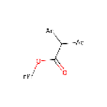 CCCOC(=O)C(C(C)=O)C(C)=O